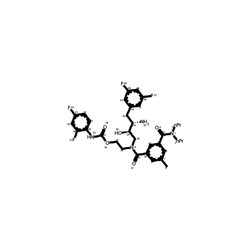 CCCN(CCC)C(=O)c1cc(C)cc(C(=O)N(CCOC(=O)Nc2ccc(F)cc2F)C[C@@H](O)[C@@H](N)Cc2cc(F)cc(F)c2)c1